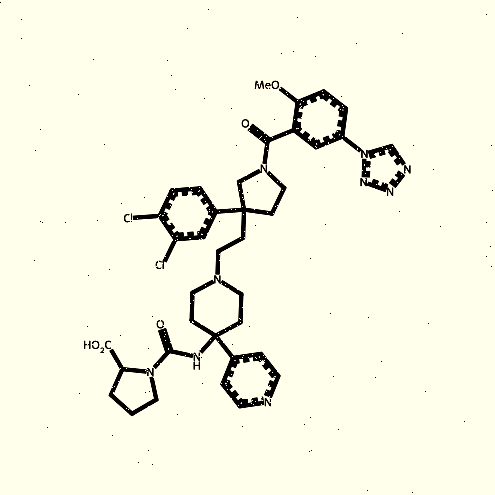 COc1ccc(-n2cnnn2)cc1C(=O)N1CCC(CCN2CCC(NC(=O)N3CCCC3C(=O)O)(c3ccncc3)CC2)(c2ccc(Cl)c(Cl)c2)C1